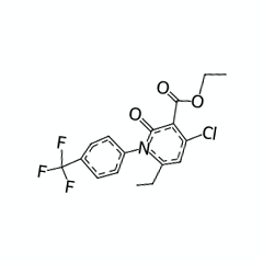 CCOC(=O)c1c(Cl)cc(CC)n(-c2ccc(C(F)(F)F)cc2)c1=O